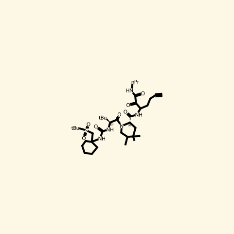 C#CCCC(NC(=O)[C@@H]1CC(C)(C)C(C)CN1C(=O)[C@@H](NC(=O)NC1(CS(=O)(=O)C(C)(C)C)CCCCC1)C(C)(C)C)C(=O)C(=O)NCCC